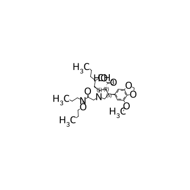 CCCON(CCC)C(=O)CN1C[C@H](c2cc(OC)c3c(c2)OCO3)[C@@H](C(=O)O)[C@@H]1CC(C)CCC